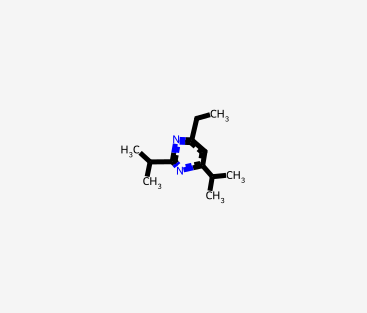 CCc1cc(C(C)C)nc(C(C)C)n1